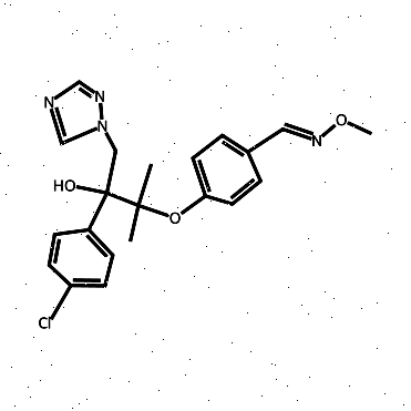 CON=Cc1ccc(OC(C)(C)C(O)(Cn2cncn2)c2ccc(Cl)cc2)cc1